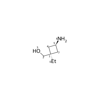 CC[C@]1(CO)C[C@@H](N)C1